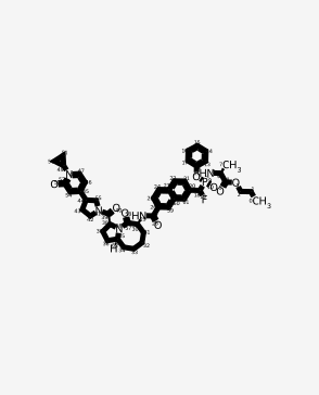 CCCOC(=O)[C@H](C)NP(=O)(Oc1ccccc1)C(F)c1ccc2ccc(C(=O)N[C@H]3CCCC[C@H]4CC[C@@H](C(=O)N5CCC(c6ccn(C7CC7)c(=O)c6)C5)N4C3=O)cc2c1